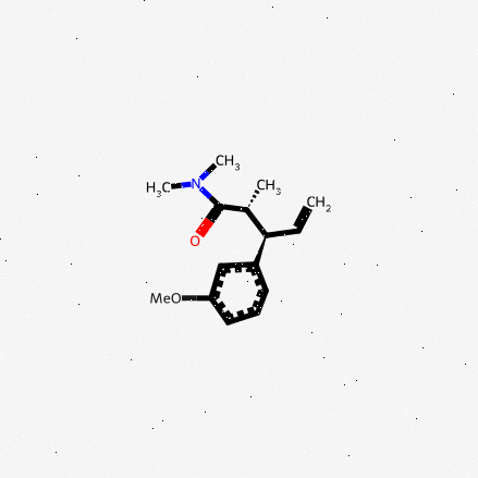 C=C[C@@H](c1cccc(OC)c1)[C@@H](C)C(=O)N(C)C